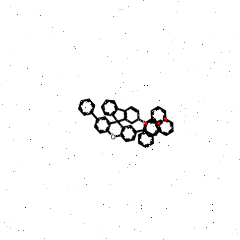 C1=CC(N(c2ccccc2)c2ccccc2-c2ccccc2)CC2=C1c1ccccc1C21c2cc(-c3ccccc3)ccc2Oc2ccc(-c3ccccc3)cc21